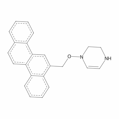 C1=CN(OCc2cc3c4ccccc4ccc3c3ccccc23)CCN1